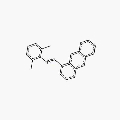 Cc1cccc(C)c1/N=C/c1cccc2cc3ccccc3cc12